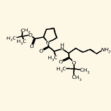 CC(NC(CCCCN)C(=O)OC(C)(C)C)C(=O)N1CCCC1C(=O)OC(C)(C)C